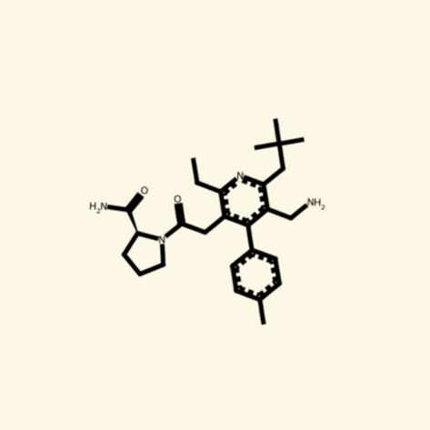 CCc1nc(CC(C)(C)C)c(CN)c(-c2ccc(C)cc2)c1CC(=O)N1CCC[C@H]1C(N)=O